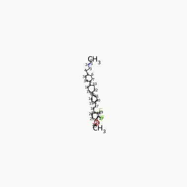 C/C=C/CCC1CCC(C2CCC(c3ccc(CCc4ccc(OCC)c(F)c4F)cc3)CC2)CC1